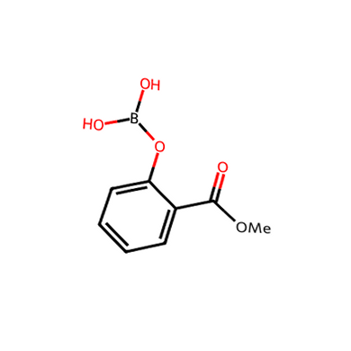 COC(=O)c1ccccc1OB(O)O